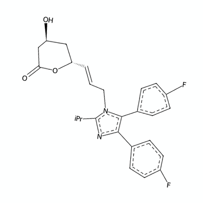 CC(C)c1nc(-c2ccc(F)cc2)c(-c2ccc(F)cc2)n1CC=C[C@H]1C[C@H](O)CC(=O)O1